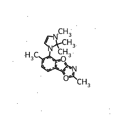 Cc1nc2oc3c(N4C=CN(C)C4(C)C)c(C)ccc3c2o1